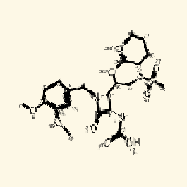 COc1ccc(CN2C(=O)[C@@H](NC(=O)O)[C@H]2[C@H](COS(C)(=O)=O)O[C@@H]2CCCCO2)cc1OC